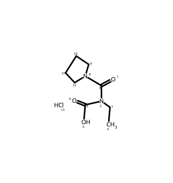 CCN(C(=O)O)C(=O)N1CCCC1.Cl